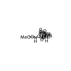 COCCOCCNCCCCC(NC(=O)C(CC(C)C)NC(=O)C(Cc1ccccc1)NC(=O)C(N)Cc1ccccc1)C(=O)N1CCC2(CC1)NC(=O)NC2=O